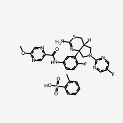 COc1cnc(C(=O)Nc2ccc(F)c([C@]34CN(c5ncc(F)cn5)C[C@H]3CSC(N)=N4)c2)cn1.Cc1ccccc1S(=O)(=O)O